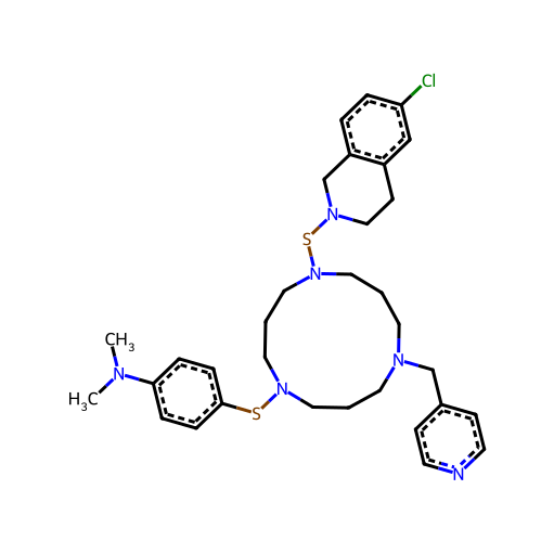 CN(C)c1ccc(SN2CCCN(Cc3ccncc3)CCCN(SN3CCc4cc(Cl)ccc4C3)CCC2)cc1